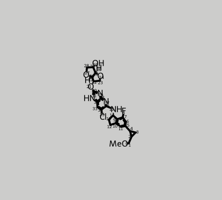 COCC1CC1c1cc(F)c2c(c1)CC[C@@H]2Nc1nc2nc(O[C@@H]3CO[C@H]4[C@@H]3OC[C@H]4O)[nH]c2cc1Cl